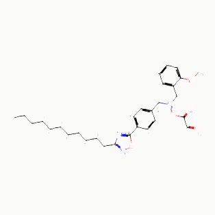 CCCCCCCCCCCc1noc(-c2ccc(CN(Cc3ccccc3OC)OC(=O)C=O)cc2)n1